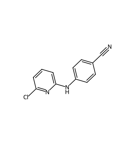 N#Cc1ccc(Nc2cccc(Cl)n2)cc1